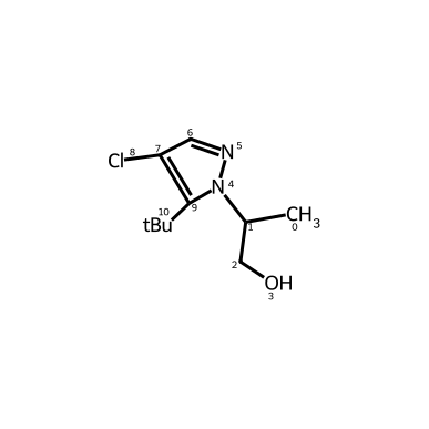 CC(CO)n1ncc(Cl)c1C(C)(C)C